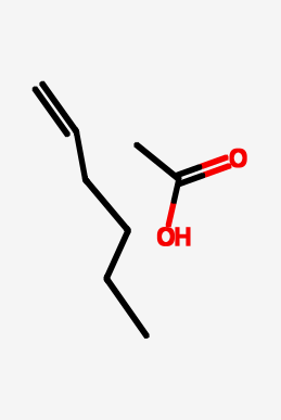 C=CCCCC.CC(=O)O